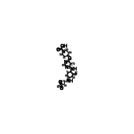 Cc1c(Nc2ccc(NCCS(C)(=O)=O)cc2F)ncnc1OC1CCN(C(=O)O)CC1